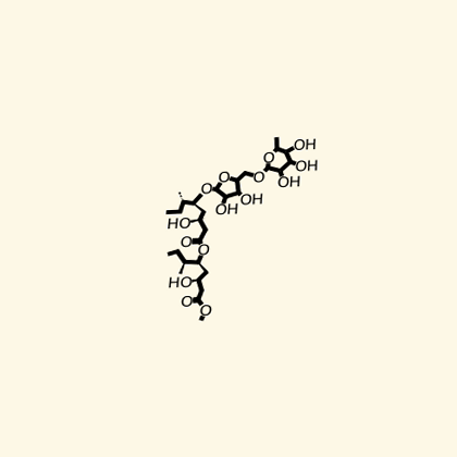 CC[C@H](C)[C@H](C[C@H](O)CC(=O)OC)OC(=O)C[C@@H](O)C[C@H](OC1OC(COC2OC(C)C(O)C(O)C2O)C(O)C1O)[C@@H](C)CC